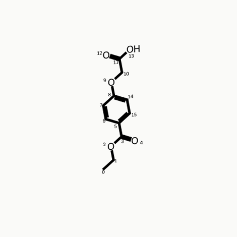 CCOC(=O)c1ccc(OCC(=O)O)cc1